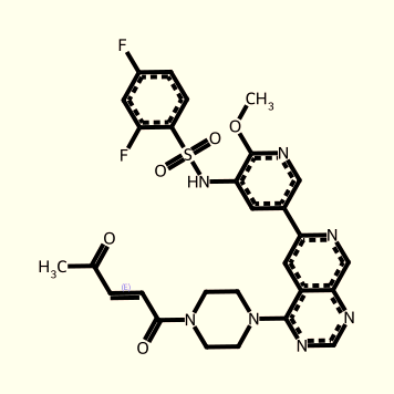 COc1ncc(-c2cc3c(N4CCN(C(=O)/C=C/C(C)=O)CC4)ncnc3cn2)cc1NS(=O)(=O)c1ccc(F)cc1F